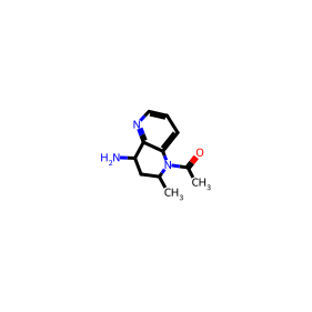 CC(=O)N1c2cccnc2C(N)CC1C